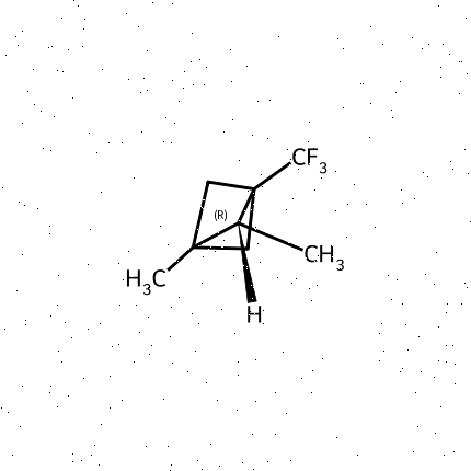 C[C@@H]1C2(C)CC1(C(F)(F)F)C2